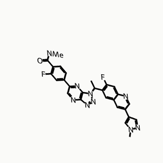 CNC(=O)c1ccc(-c2cnc3nnn(C(C)c4cc5cc(-c6cnn(C)c6)cnc5cc4F)c3n2)cc1F